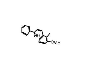 COc1cccc(/C=C\C(=N)c2ccccc2)c1C